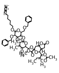 CC[C@@H](C)[C@@H](OC(C)=O)C1O[C@@](OCC2O[C@@H](O[C@@H]3C(COCc4ccccc4)O[C@@H](OCCCCCN=[N+]=[N-])C(OCc4ccccc4)[C@H]3C)C(C)[C@@H](C)[C@H]2O)(C(=O)OC)C[C@H]2OC(=O)C[C@@H]12